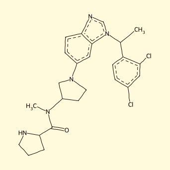 CC(c1ccc(Cl)cc1Cl)n1cnc2ccc(N3CCC(N(C)C(=O)C4CCCN4)C3)cc21